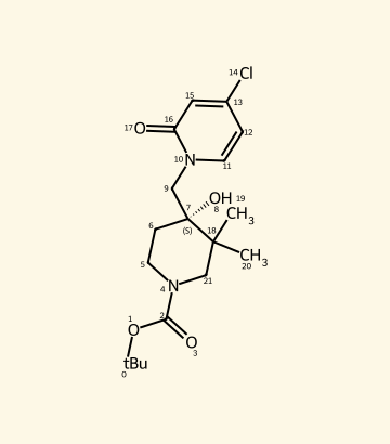 CC(C)(C)OC(=O)N1CC[C@@](O)(Cn2ccc(Cl)cc2=O)C(C)(C)C1